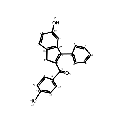 O=C(C1=C(c2ccccc2)c2cc(O)ccc2C1)c1ccc(O)cc1